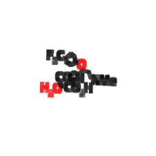 CNCCC(Oc1ccc(C(F)(F)F)cc1)c1ccccc1.O.O=C(O)/C=C\C(=O)O